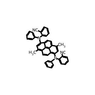 [C-]#[N+]c1ccccc1N(c1ccccc1)c1cc(C)c2ccc3c(N(c4ccccc4)c4ccccc4C#N)cc(C)c4ccc1c2c43